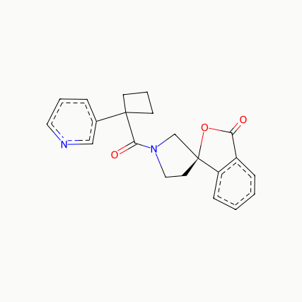 O=C1O[C@]2(CCN(C(=O)C3(c4cccnc4)CCC3)C2)c2ccccc21